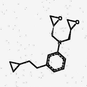 c1cc(CCC2CC2)cc(N(C[C@H]2CO2)C[C@@H]2CO2)c1